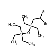 CC[Si](CC)(CC)O[Si](CC)(CC)CC(Br)Br